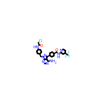 Nc1ncnc2c1c(-c1ccc(C(=O)Nc3cc(C(F)(F)F)ccn3)cc1)nn2Cc1ccc(NC(=O)CCl)cc1